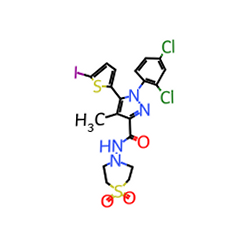 Cc1c(C(=O)NN2CCS(=O)(=O)CC2)nn(-c2ccc(Cl)cc2Cl)c1-c1ccc(I)s1